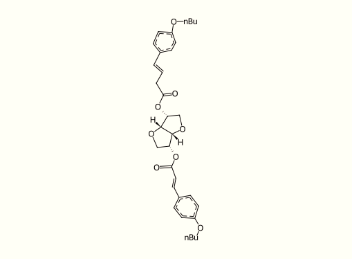 CCCCOc1ccc(/C=C/CC(=O)O[C@@H]2CO[C@H]3[C@@H]2OC[C@H]3OC(=O)/C=C/c2ccc(OCCCC)cc2)cc1